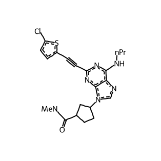 CCCNc1nc(C#Cc2ccc(Cl)s2)nc2c1ncn2C1CCC(C(=O)NC)C1